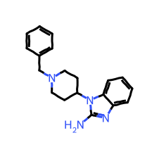 Nc1nc2ccccc2n1C1CCN(Cc2ccccc2)CC1